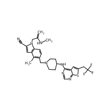 C=C(Cn1c(C#N)cc2c(C)c(CN3CCC(Nc4ncnc5sc(CC(F)(F)F)cc45)CC3)ccc21)NC